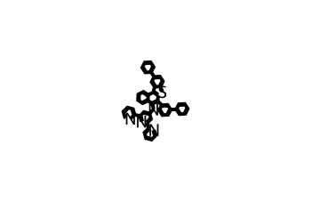 c1ccc(-c2ccc3sc4c(c3c2)c2ccccc2c2c4c3cc(-c4ccccc4)ccc3n2-c2cc(-c3ccccn3)nc(-c3ccccn3)c2)cc1